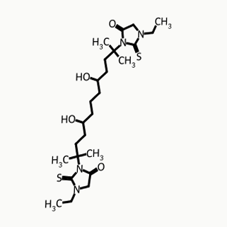 CCN1CC(=O)N(C(C)(C)CCC(O)CCCC(O)CCC(C)(C)N2C(=O)CN(CC)C2=S)C1=S